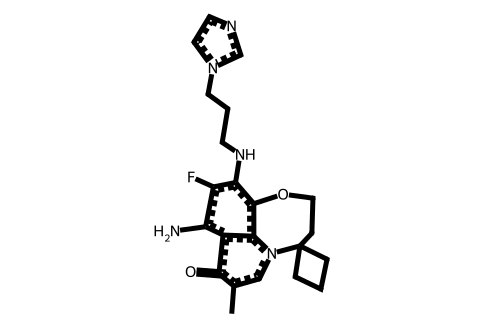 Cc1cn2c3c(c(NCCCn4ccnc4)c(F)c(N)c3c1=O)OCCC21CCC1